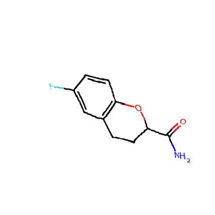 NC(=O)C1CCc2cc(F)ccc2O1